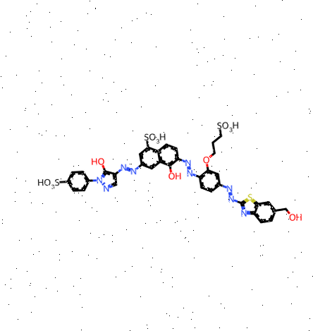 O=S(=O)(O)CCCOc1cc(N=Nc2nc3ccc(CO)cc3s2)ccc1N=Nc1ccc2c(S(=O)(=O)O)cc(N=Nc3cnn(-c4ccc(S(=O)(=O)O)cc4)c3O)cc2c1O